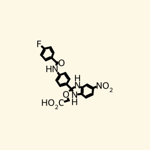 O=C(O)COC1(c2ccc(NC(=O)c3ccc(F)cc3)cc2)Nc2ccc([N+](=O)[O-])cc2N1